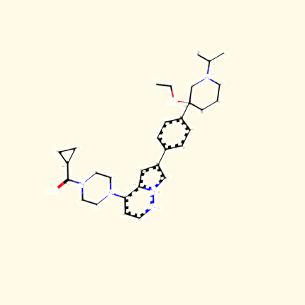 CCO[C@]1(c2ccc(-c3cc4c(N5CCN(C(=O)C6CC6)CC5)ccnn4c3)cc2)CCCN(C(C)C)C1